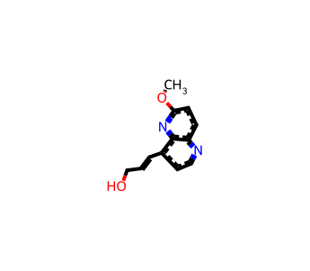 COc1ccc2nccc(C=CCO)c2n1